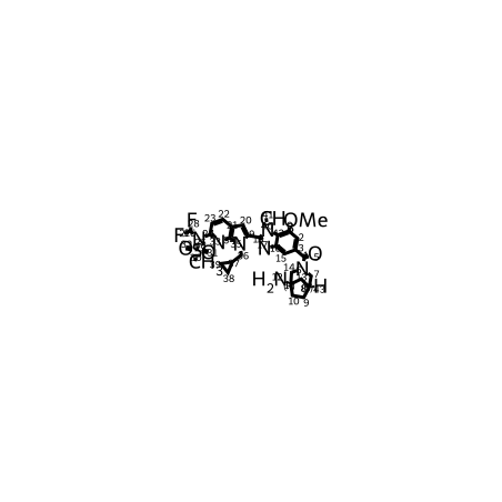 COc1cc(C(=O)N2C[C@@H]3CC[C@@](N)(C3)C2)cc2nc(-c3cc4ccc(N(C(F)F)S(C)(=O)=O)nc4n3CC3CC3)n(C)c12